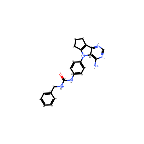 Nc1ncnc2c3c(n(-c4ccc(NC(=O)NCc5ccccc5)cc4)c12)CCC3